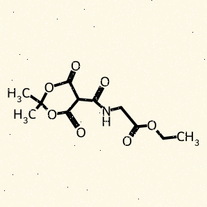 CCOC(=O)CNC(=O)C1C(=O)OC(C)(C)OC1=O